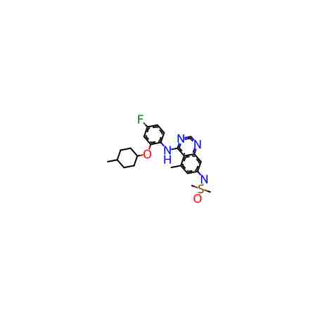 Cc1cc(N=S(C)(C)=O)cc2ncnc(Nc3ccc(F)cc3OC3CCC(C)CC3)c12